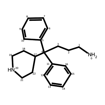 NCCCC(c1ccccc1)(c1ccccc1)C1CCNCC1